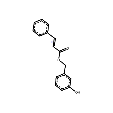 O=C(/C=C/c1ccccc1)OCc1cccc(O)c1